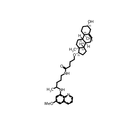 COc1cc(NC(C)CCCNC(=O)CCCO[C@H]2CC[C@H]3[C@@H]4CC=C5C[C@@H](O)CC[C@]5(C)[C@H]4CC[C@]23C)c2ncccc2c1